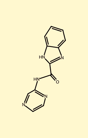 O=C(Nc1cnccn1)c1nc2ccccc2[nH]1